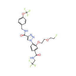 O=C(NCC(F)(F)F)c1ccc(-n2cc(C(=O)NCc3ccc(OC(F)(F)F)cc3)nn2)c(OCCOCCF)c1